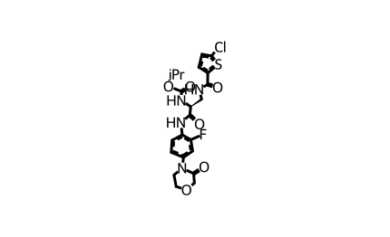 CC(C)OC(=O)N[C@@H](CNC(=O)c1ccc(Cl)s1)C(=O)Nc1ccc(N2CCOCC2=O)cc1F